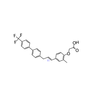 Cc1cc(/C=C/Cc2ccc(-c3ccc(C(F)(F)F)cc3)cc2)ccc1OCC(=O)O